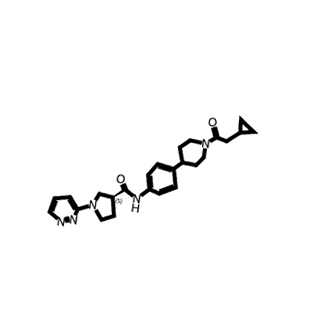 O=C(Nc1ccc(C2CCN(C(=O)CC3CC3)CC2)cc1)[C@H]1CCN(c2cccnn2)C1